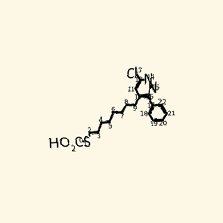 O=C(O)SCCCCCCCCc1cc(Cl)nnc1-c1ccccc1